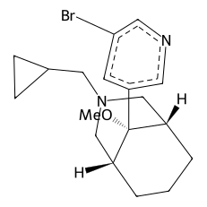 CO[C@@]1(c2cncc(Br)c2)[C@@H]2CCC[C@H]1CN(CC1CC1)C2